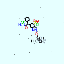 C[Si](C)(C)CCOCn1cc2c(S(=O)(=O)Cl)cc(C(C(N)=O)c3ccccc3Cl)cc2n1